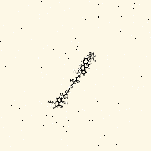 COc1ccc(NC(=O)COCCOCCNC(=O)CCOC2CCC3C4CCc5cc(OP(C)(C)=O)ccc5C4CCC23C)c(O)c1C(N)=O